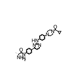 C[C@@H](N)C(=O)Nc1ccc(-c2ccnc(Nc3ccc(N4CCN(C(=O)C5CC5)CC4)cc3)n2)cc1